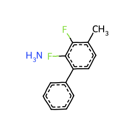 Cc1ccc(-c2ccccc2)c(F)c1F.N